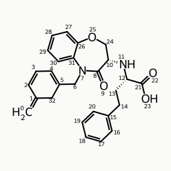 C=C1C=CC=C(CN2C(=O)[C@@H](N[C@@H](CCc3ccccc3)C(=O)O)COc3ccccc32)C1